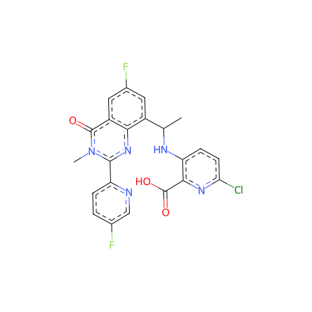 CC(Nc1ccc(Cl)nc1C(=O)O)c1cc(F)cc2c(=O)n(C)c(-c3ccc(F)cn3)nc12